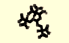 CC(OC(OCC(F)([N+](=O)[O-])[N+](=O)[O-])OCC(F)([N+](=O)[O-])[N+](=O)[O-])C(F)([N+](=O)[O-])[N+](=O)[O-]